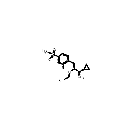 C=C(C1CC1)C(Cc1ccc(S(C)(=O)=O)cc1F)OCC